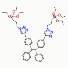 CCO[Si](CCCn1cc(-c2ccc(C(=C(c3ccccc3)c3ccc(-c4cn(CCC[Si](OCC)(OCC)OCC)nn4)cc3)c3ccccc3)cc2)nn1)(OCC)OCC